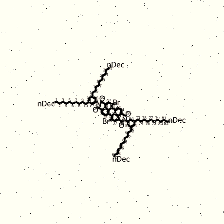 CCCCCCCCCCCCCCCCCCCCc1cc(CCCCCCCCCCCCCCCCCCCC)cc(N2C(=O)c3ccc4c5c(Br)cc6c7c(ccc(c8c(Br)cc(c3c48)C2=O)c75)C(=O)N(c2cc(CCCCCCCCCCCCCCCCCCCC)cc(CCCCCCCCCCCCCCCCCCCC)c2)C6=O)c1